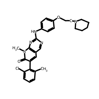 Cc1cccc(Cl)c1-c1cc2cnc(Nc3ccc(OCCN4CCCCC4)cc3)nc2n(C)c1=O